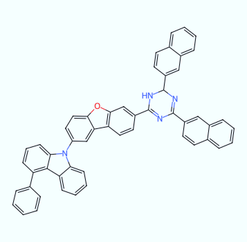 c1ccc(-c2cccc3c2c2ccccc2n3-c2ccc3oc4cc(C5=NC(c6ccc7ccccc7c6)=NC(c6ccc7ccccc7c6)N5)ccc4c3c2)cc1